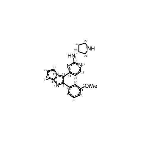 COc1cccc(-c2nc3sccn3c2-c2ccnc(N[C@@H]3CCNC3)n2)c1